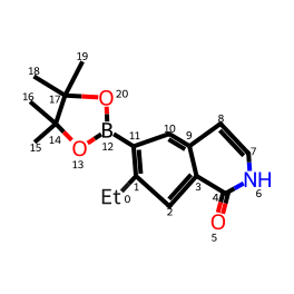 CCc1cc2c(=O)[nH]ccc2cc1B1OC(C)(C)C(C)(C)O1